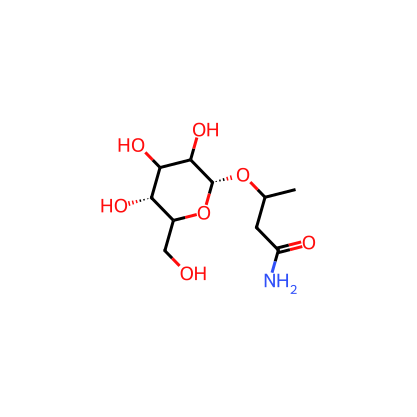 CC(CC(N)=O)O[C@@H]1OC(CO)[C@H](O)C(O)C1O